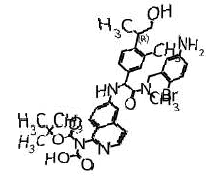 Cc1cc(C(Nc2ccc3c(N(C(=O)O)C(=O)OC(C)(C)C)nccc3c2)C(=O)N(C)Cc2cc(N)ccc2Br)ccc1[C@@H](C)CO